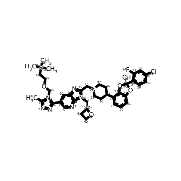 Cc1nnc(-c2cnc3c(c2)nc(CN2CCC(c4cccc5c4O[C@@](C)(c4ccc(Cl)cc4F)O5)CC2)n3C[C@@H]2CCO2)n1COCC[Si](C)(C)C